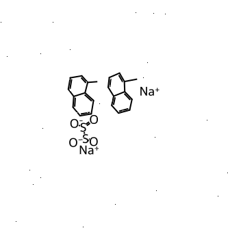 Cc1cccc2ccccc12.Cc1cccc2ccccc12.O=S([O-])S(=O)[O-].[Na+].[Na+]